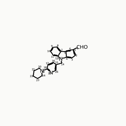 O=Cc1ccc2c(c1)c1ccccc1n2Cc1ccc(N2CCCCC2)nc1